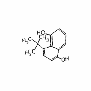 CC(C)(C)c1ccc(O)c2cccc(O)c12